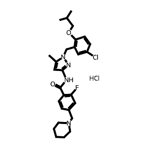 Cc1cc(NC(=O)c2ccc(CN3CCCCC3)cc2F)nn1Cc1cc(Cl)ccc1OCC(C)C.Cl